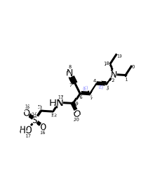 CCN(/C=C/C=C(\C#N)C(=O)NCCS(=O)(=O)O)CC